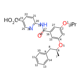 CC(C)Oc1cc(O[C@@H](C)Cc2ccccc2)cc(C(=O)Nc2ccc(C(=O)O)cn2)c1